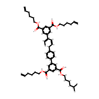 C=CCCCCOC(=O)c1cc(C(=O)OCCCCC=C)cc(C(/C=C\Cc2ccc(-c3cc(C(=O)OCCCCC=C)cc(C(=O)OCCCCC(C)C)c3)cc2)=C/C)c1